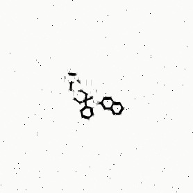 Cn1ccnc1CN1CCC2(CC1)C(=O)N(c1ccc3ccccc3c1)c1ccccc12